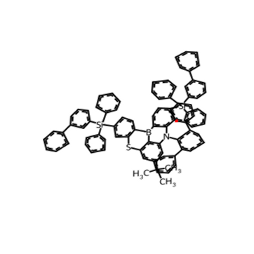 CC(C)(C)c1cc2c3c(c1)N(c1c(-c4ccccc4)cccc1-c1ccccc1)c1cc([Si](c4ccccc4)(c4ccccc4)c4cccc(-c5ccccc5)c4)ccc1B3c1ccc([Si](c3ccccc3)(c3ccccc3)c3cccc(-c4ccccc4)c3)cc1S2